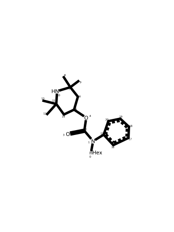 CCCCCCN(C(=O)OC1CC(C)(C)NC(C)(C)C1)c1ccccc1